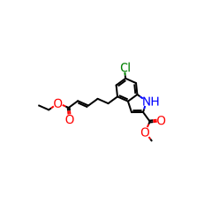 CCOC(=O)C=CCCc1cc(Cl)cc2[nH]c(C(=O)OC)cc12